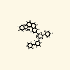 c1ccc(-c2cccc(-c3nc(-c4ccccc4)nc(-c4ccc5c(ccc6ccc7c8ccccc8[se]c7c65)c4)n3)c2)cc1